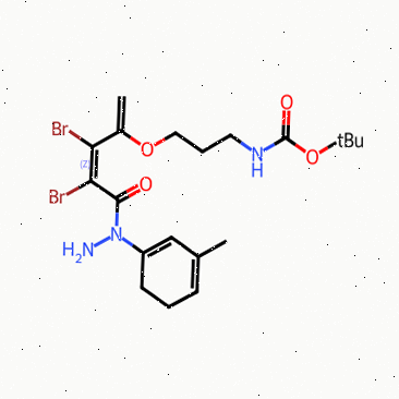 C=C(OCCCNC(=O)OC(C)(C)C)/C(Br)=C(/Br)C(=O)N(N)C1=CC(C)=CCC1